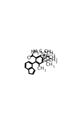 Cc1c(-c2cccc3c2C=CC3)c(C([NH])=O)c2c(C)c1[Si](C)(C)[Si](C)(C)[Si]2(C)C